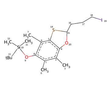 Cc1c(C)c2c(c(C)c1O[Si](C)(C)C(C)(C)C)SC(CCCI)O2